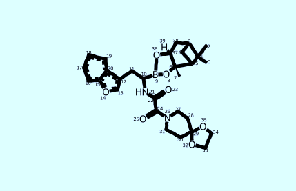 CC1(C)C2CC1[C@]1(C)OB(C(Cc3coc4ccccc34)NC(=O)C(=O)N3CCC4(CC3)OCCO4)O[C@@H]1C2